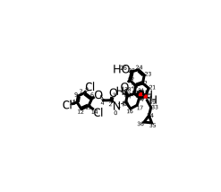 CN(C(=O)COc1c(Cl)cc(Cl)cc1Cl)[C@H]1CC[C@@]2(O)[C@H]3Cc4ccc(O)c5c4[C@@]2(CCN3CC2CC2)[C@H]1O5